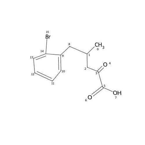 CC(CC(=O)C(=O)O)Cc1ccccc1Br